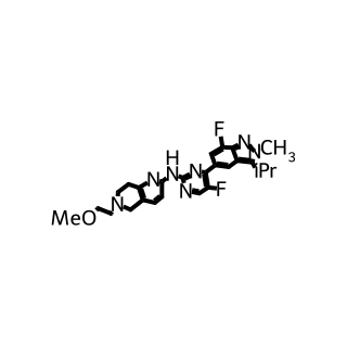 COCCN1CCc2nc(Nc3ncc(F)c(-c4cc(F)c5nn(C)c(C(C)C)c5c4)n3)ccc2C1